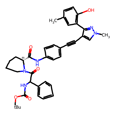 Cc1ccc(O)c(-c2nn(C)cc2C#Cc2ccc(NC(=O)[C@H]3CCCCN3C(=O)C(NC(=O)OC(C)(C)C)c3ccccc3)cc2)c1